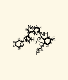 C[C@@H](Nc1ccn2ncc(-c3cnn(C4CCCCO4)c3)c2n1)c1cc(F)ccc1OCCF